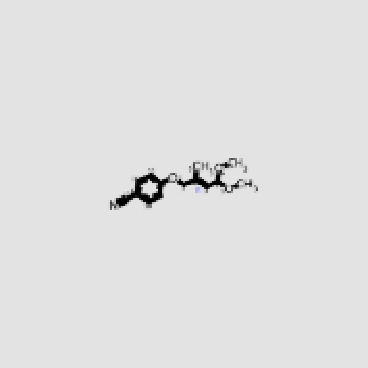 COC(/C=C(\C)COc1ccc(C#N)cc1)OC